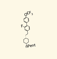 CCCCC[C@H]1CC[C@H](CCc2ccc(-c3ccc(OC(F)(F)F)cc3)c(F)c2)CC1